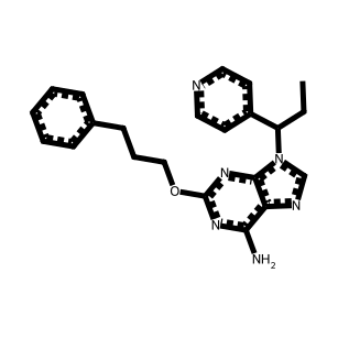 CCC(c1ccncc1)n1cnc2c(N)nc(OCCCc3ccccc3)nc21